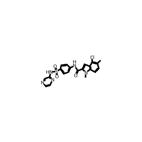 Cc1ccc2c(cc(C(=O)Nc3ccc(S(=O)(=O)Nc4cnccn4)cc3)n2C)c1Cl